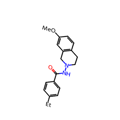 CCc1ccc(C(=O)NN2CCc3ccc(OC)cc3C2)cc1